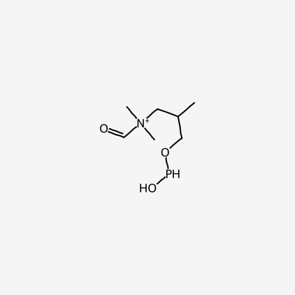 CC(COPO)C[N+](C)(C)C=O